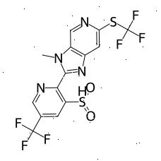 Cn1c(-c2ncc(C(F)(F)F)cc2[SH](=O)=O)nc2cc(SC(F)(F)F)ncc21